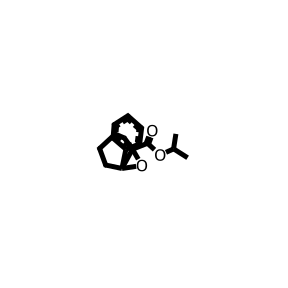 CC(C)OC(=O)C12CCCCC1(c1ccccc1)O2